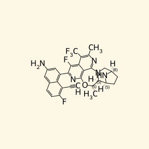 C#Cc1c(F)ccc2cc(N)cc(-c3nc4c5c(nc(C)c(C(F)(F)F)c5c3F)N3C[C@H]5CC[C@H](N5)[C@H]3[C@H](C)O4)c12